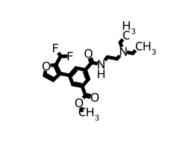 CCN(CC)CCNC(=O)c1cc(C(=O)OC)cc(-c2ccoc2C(F)F)c1